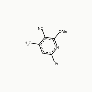 COc1nc(C(C)C)cc(C)c1C#N